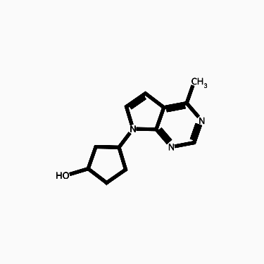 Cc1ncnc2c1ccn2C1C[CH]C(O)C1